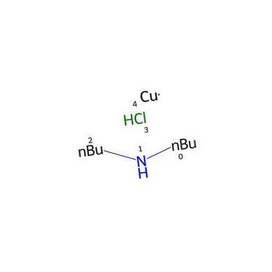 CCCCNCCCC.Cl.[Cu]